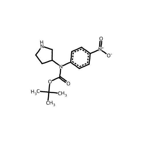 CC(C)(C)OC(=O)N(c1ccc([N+](=O)[O-])cc1)C1CCNC1